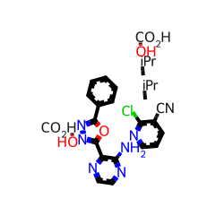 CC(C)C.CC(C)C.N#Cc1cccnc1Cl.Nc1nccnc1-c1nnc(-c2ccccc2)o1.O=C(O)O.O=C(O)O